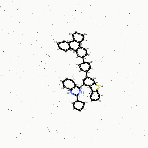 c1ccc(-c2nc(-c3cc(-c4ccc(-c5ccc6c7ccccc7c7ccccc7c6c5)cc4)cc4sc5ccccc5c34)c3ccccc3n2)cc1